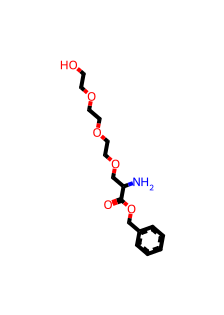 NC(COCCOCCOCCO)C(=O)OCc1ccccc1